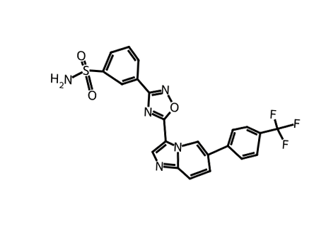 NS(=O)(=O)c1cccc(-c2noc(-c3cnc4ccc(-c5ccc(C(F)(F)F)cc5)cn34)n2)c1